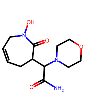 NC(=O)C(C1CC=CCN(O)C1=O)N1CCOCC1